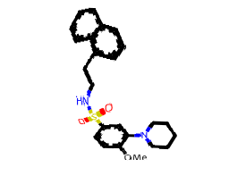 COc1ccc(S(=O)(=O)NCCc2cccc3ccccc23)cc1N1CCCCC1